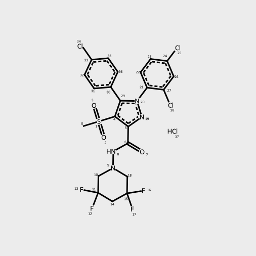 CS(=O)(=O)c1c(C(=O)NN2CC(F)(F)CC(F)(F)C2)nn(-c2ccc(Cl)cc2Cl)c1-c1ccc(Cl)cc1.Cl